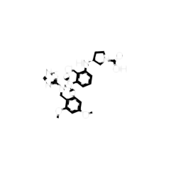 COc1ccc(CN(c2ncns2)S(=O)(=O)c2cccc(N[C@H]3CCN(C(=O)O)C3)c2Cl)c(OC)c1